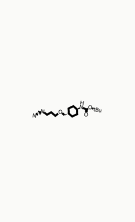 CC(C)(C)OC(=O)N[C@H]1CC[C@H](COCCCN=[N+]=[N-])CC1